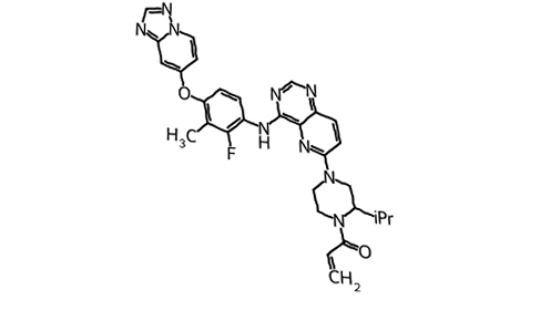 C=CC(=O)N1CCN(c2ccc3ncnc(Nc4ccc(Oc5ccn6ncnc6c5)c(C)c4F)c3n2)CC1C(C)C